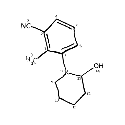 Cc1c(C#N)cccc1N1CCCCC1O